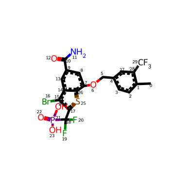 Cc1ccc(COc2cc(C(N)=O)cc3c(Br)c(C(F)(F)P(=O)(O)O)sc23)cc1C(F)(F)F